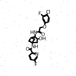 O=C(COc1ccc(Cl)c(F)c1)NC1=C2CC(NC(=O)c3ccc(F)cn3)(C2)CC1O